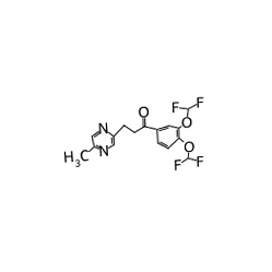 Cc1cnc(CCC(=O)c2ccc(OC(F)F)c(OC(F)F)c2)cn1